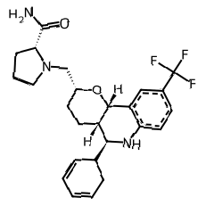 NC(=O)[C@H]1CCCN1C[C@H]1CC[C@@H]2[C@H](O1)c1cc(C(F)(F)F)ccc1N[C@H]2C1C=CC=CC1